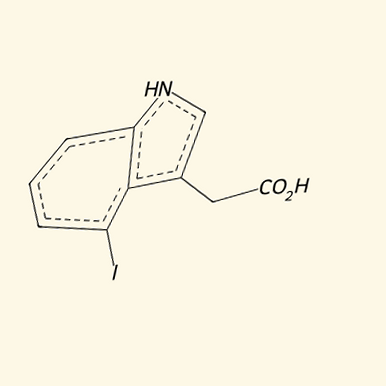 O=C(O)Cc1c[nH]c2cccc(I)c12